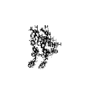 CC(C)C(C(=O)Nc1cc(C2CC2)[nH]n1)c1cccc(-c2ccc(NC(=O)/C=C/CN3CCOCC3)nc2)c1.CC(C)C(C(=O)Nc1cc(C2CC2)[nH]n1)c1cccc(-c2ccc(NC(=O)/C=C/CN3CCOCC3)nc2)c1.O=C(O)/C=C/C(=O)O